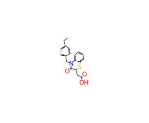 CCc1ccc(CN2C(=O)C(CC(=O)O)Sc3ccccc32)cc1